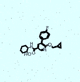 O=C(N[C@@H]1CCCC[C@H]1O)c1cnc(OCC2CC2)c(-c2ccc(F)cc2)c1